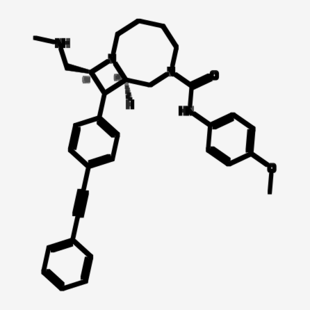 CNC[C@@H]1C(c2ccc(C#Cc3ccccc3)cc2)[C@@H]2CN(C(=O)Nc3ccc(OC)cc3)CCCCN12